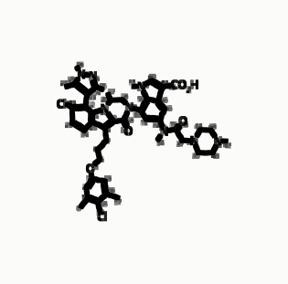 Cc1cc(OCCCc2c3n(c4c(-c5c(C)nn(C)c5C)c(Cl)ccc24)C(C)CN(c2cc(N(C)C(=O)CN4CCN(C)CC4)cc4c(C(=O)O)cn(C)c24)C3=O)cc(C)c1Cl